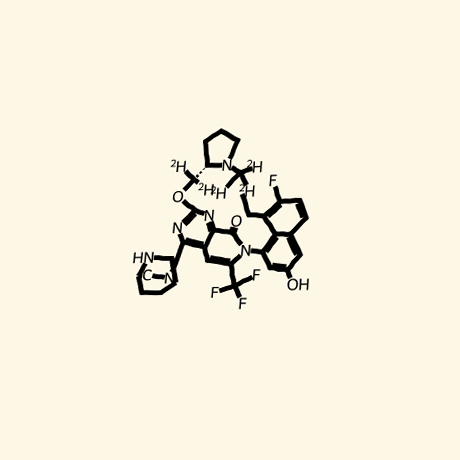 [2H]C([2H])(Oc1nc(N2CC3CCC2CN3)c2cc(C(F)(F)F)n(-c3cc(O)cc4ccc(F)c(CC)c34)c(=O)c2n1)[C@@H]1CCCN1C([2H])([2H])[2H]